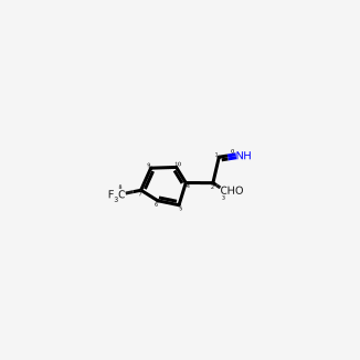 N=CC(C=O)c1ccc(C(F)(F)F)cc1